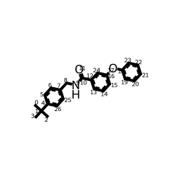 CC(C)(C)c1ccc(CNC(=O)c2cccc(Oc3ccccc3)c2)cc1